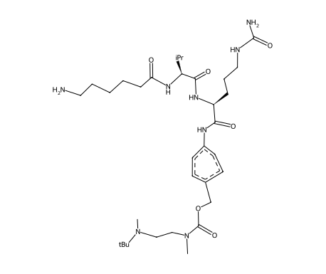 CC(C)[C@H](NC(=O)CCCCCN)C(=O)N[C@@H](CCCNC(N)=O)C(=O)Nc1ccc(COC(=O)N(C)CCN(C)C(C)(C)C)cc1